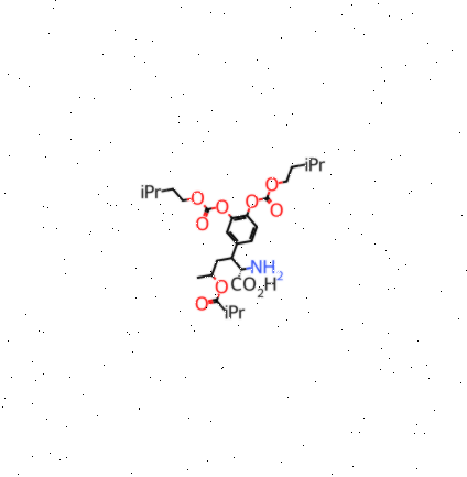 CC(C)CCOC(=O)Oc1ccc(C(CC(C)OC(=O)C(C)C)[C@H](N)C(=O)O)cc1OC(=O)OCCC(C)C